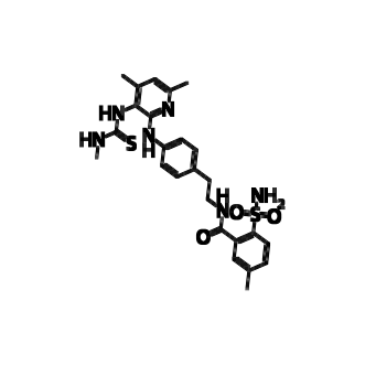 CNC(=S)Nc1c(C)cc(C)nc1Nc1ccc(CCNC(=O)c2cc(C)ccc2S(N)(=O)=O)cc1